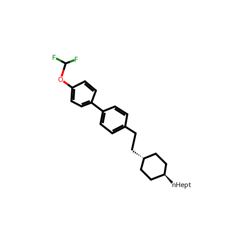 CCCCCCC[C@H]1CC[C@H](CCc2ccc(-c3ccc(OC(F)F)cc3)cc2)CC1